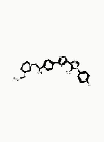 O=C(O)C[C@H]1CCCN(C[C@H](O)c2ccc(-c3noc(-c4ncn(-c5ccc(Cl)cc5)c4C(F)(F)F)n3)cc2)C1